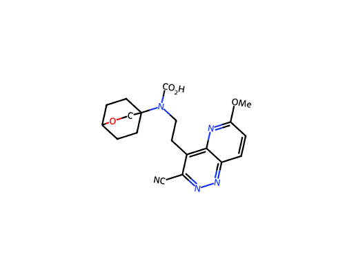 COc1ccc2nnc(C#N)c(CCN(C(=O)O)C34CCC(CC3)OC4)c2n1